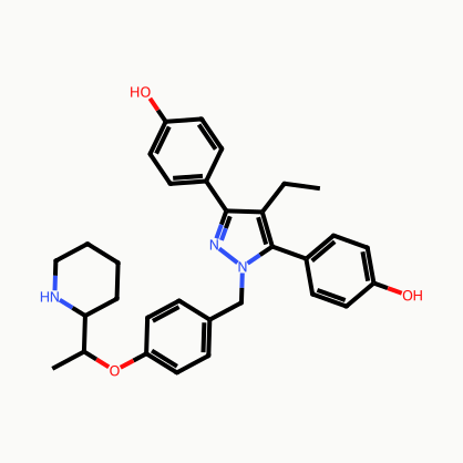 CCc1c(-c2ccc(O)cc2)nn(Cc2ccc(OC(C)C3CCCCN3)cc2)c1-c1ccc(O)cc1